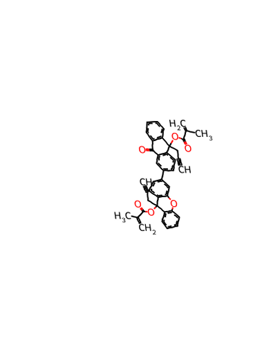 C#CCC1(OC(=O)C(=C)C)c2ccccc2Oc2cc(-c3ccc4c(c3)C(=O)c3ccccc3C4(CC#C)OC(=O)C(=C)C)ccc21